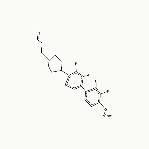 C=CCCC1CCC(c2ccc(-c3ccc(OCCCCC)c(F)c3F)c(F)c2F)CC1